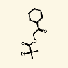 CCC(C)(C)C(=O)OCC(=O)C1CCCCC1